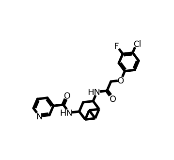 O=C(COc1ccc(Cl)c(F)c1)NC1CC(NC(=O)c2cccnc2)C2C3C1C23